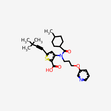 CC1CCC(C(=O)N(CCCOc2cccnc2)c2cc(C#CC(C)(C)C)sc2C(=O)O)CC1